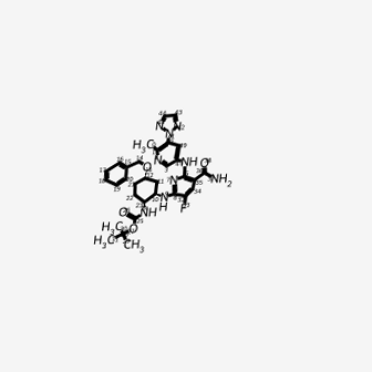 Cc1ncc(Nc2nc(N[C@@H]3C[C@@H](OCc4ccccc4)CC[C@@H]3NC(=O)OC(C)(C)C)c(F)cc2C(N)=O)cc1-n1nccn1